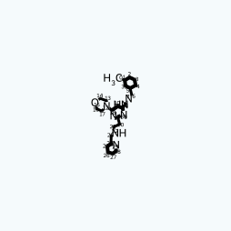 Cc1cccc(C=NNc2cc(N3CCOCC3)nc(CCNCc3ccccn3)n2)c1